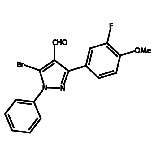 COc1ccc(-c2nn(-c3ccccc3)c(Br)c2C=O)cc1F